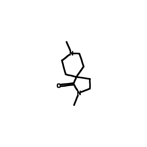 CN1CCC2(CC1)CCN(C)C2=O